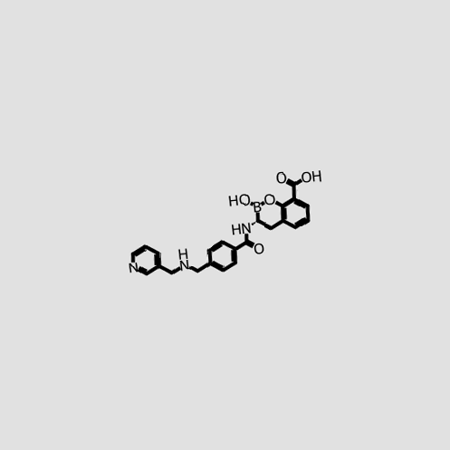 O=C(N[C@H]1Cc2cccc(C(=O)O)c2OB1O)c1ccc(CNCc2cccnc2)cc1